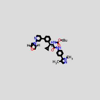 Cc1cnn(C)c1-c1ccc(NC(=O)[C@@H](NC(=O)OC(C)(C)C)C(c2cccc(-c3ccnc(N4C[C@@H]5C[C@H]4CO5)c3)c2)C2CC2)cc1